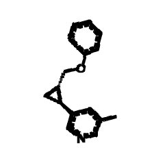 Cc1cncc([C@H]2C[C@@H]2COc2ccccc2)c1